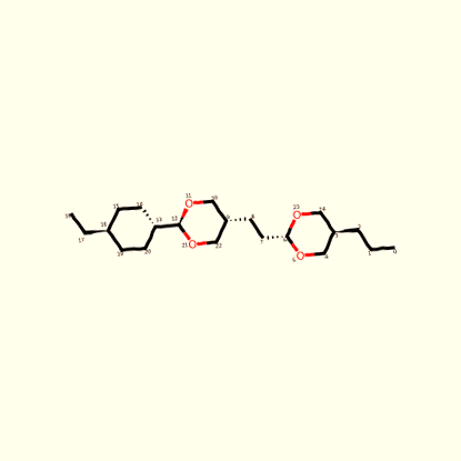 CCC[C@H]1CO[C@H](CC[C@H]2CO[C@H]([C@H]3CC[C@H](CC)CC3)OC2)OC1